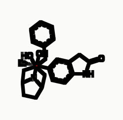 CC[C@](O)(c1ccc2c(c1)CC(=O)N2)N1C2CCC1CC(O)(Cc1ccccc1)C2